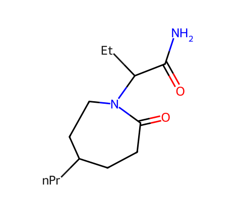 CCCC1CCC(=O)N(C(CC)C(N)=O)CC1